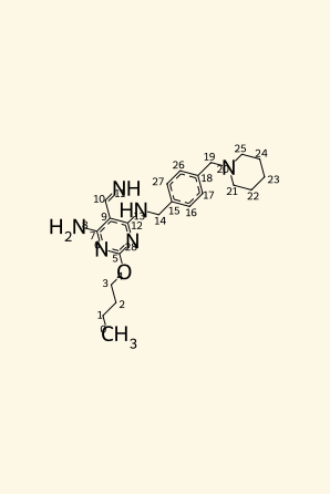 CCCCOc1nc(N)c(C=N)c(NCc2ccc(CN3CCCCC3)cc2)n1